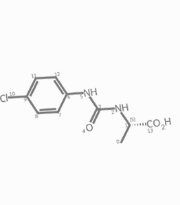 C[C@H](NC(=O)Nc1ccc(Cl)cc1)C(=O)O